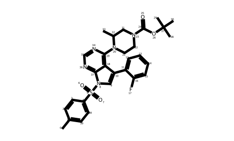 Cc1ccc(S(=O)(=O)n2cc(-c3ccccc3F)c3c(N4CCN(C(=O)OC(C)(C)C)CC4C)ncnc32)cc1